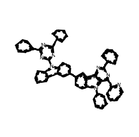 c1ccc(-c2nc(-c3ccccc3)nc(-n3c4ccccc4c4cc(-c5ccc6c(c5)c5nc(-c7ccccc7)nc(-c7ccccn7)c5n6-c5ccccc5)ccc43)n2)cc1